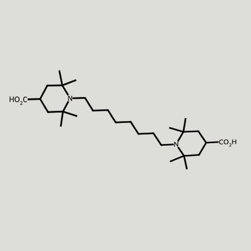 CC1(C)CC(C(=O)O)CC(C)(C)N1CCCCCCCCN1C(C)(C)CC(C(=O)O)CC1(C)C